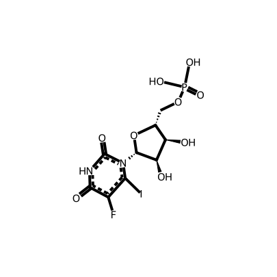 O=c1[nH]c(=O)n([C@@H]2O[C@H](COP(=O)(O)O)[C@@H](O)[C@H]2O)c(I)c1F